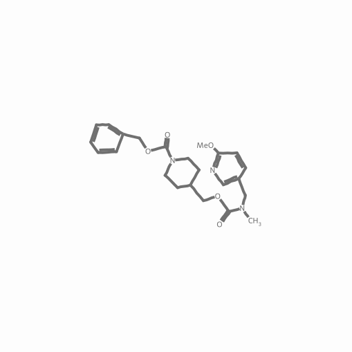 COc1ccc(CN(C)C(=O)OCC2CCN(C(=O)OCc3ccccc3)CC2)cn1